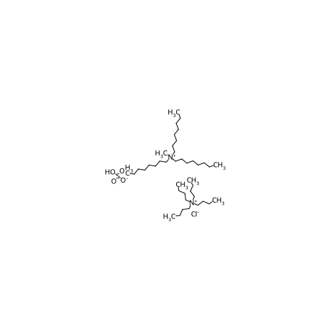 CCCCCCCC[N+](C)(CCCCCCCC)CCCCCCCC.CCCC[N+](CCCC)(CCCC)CCCC.O=S(=O)([O-])O.[Cl-]